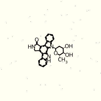 C[C@@H]1O[C@@H](n2c3ccccc3c3c4c(c5c6ccccc6[nH]c5c32)CNC4=O)C[C@H](O)[C@H]1O